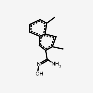 Cc1cc2c(C)cccc2cc1/C(N)=N/O